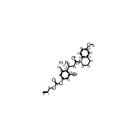 C=CCOC(=O)Oc1cc(C)c(C(N)CC(=O)N2CCCc3cc(OC)ccc32)c(Br)c1